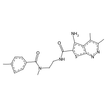 Cc1ccc(C(=O)N(C)CCNC(=O)c2sc3nnc(C)c(C)c3c2N)cc1